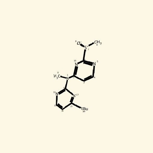 CN(c1ccnc([S+](C)[O-])n1)c1nccc(C(C)(C)C)n1